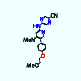 CNc1cc(Nc2cnc(C#N)cn2)ncc1-c1ccc(OCCOC)cc1